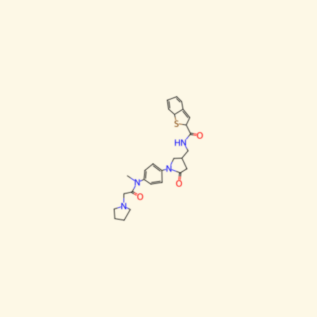 CN(C(=O)CN1CCCC1)c1ccc(N2CC(CNC(=O)C3C=C4C=CC=CC4S3)CC2=O)cc1